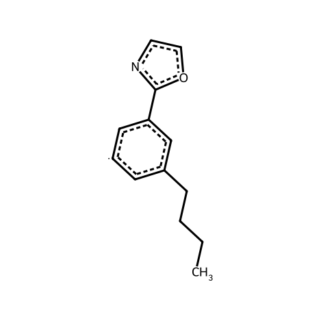 CCCCc1c[c]cc(-c2ncco2)c1